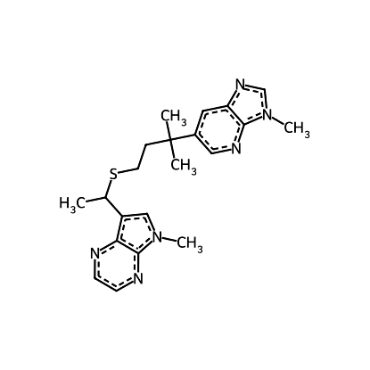 CC(SCCC(C)(C)c1cnc2c(c1)ncn2C)c1cn(C)c2nccnc12